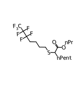 CCCCCC(SCCCCC(F)(F)C(F)(F)C(F)(F)F)C(=O)OCCC